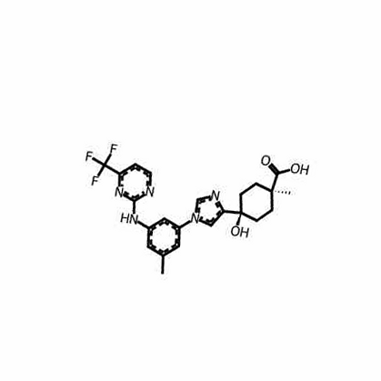 Cc1cc(Nc2nccc(C(F)(F)F)n2)cc(-n2cnc([C@]3(O)CC[C@@](C)(C(=O)O)CC3)c2)c1